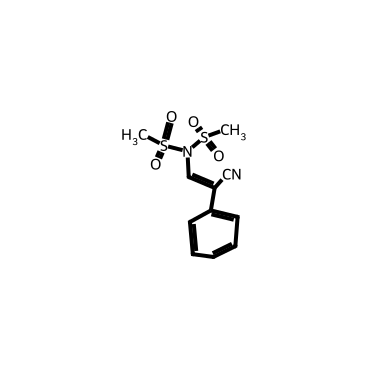 CS(=O)(=O)N(C=C(C#N)c1ccccc1)S(C)(=O)=O